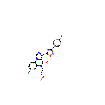 COCCn1c(=O)c2c(-c3nc(-c4ccc(F)cc4)no3)ncn2c2ccc(F)cc21